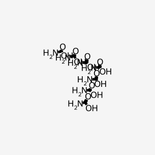 NC(=O)O.NC(=O)O.NC(=O)O.NC(=O)O.NC(=O)O.NC(=O)O.NC(=O)O